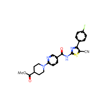 COC(=O)C1CCN(c2ccc(C(=O)Nc3nc(-c4ccc(F)cc4)c(C#N)s3)cn2)CC1